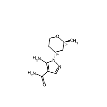 C[C@H]1C[C@H](n2ncc(C(N)=O)c2N)CCO1